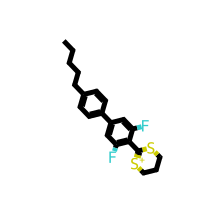 CCCCCc1ccc(-c2cc(F)c(C3=[S+]CCCS3)c(F)c2)cc1